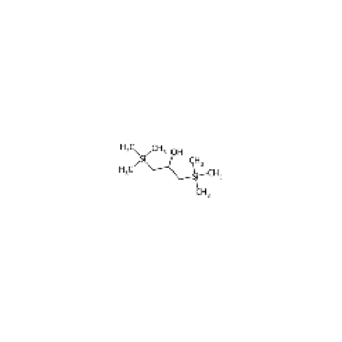 C[Si](C)(C)CC(O)C[Si](C)(C)C